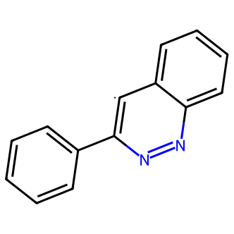 [c]1c(-c2ccccc2)nnc2ccccc12